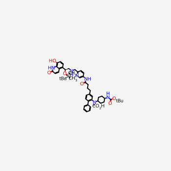 CC(C)(C)OC(=O)NC1CCC(N(C(=O)O)c2cc(CCCC(=O)Nc3ccc(CNC[C@@H](O[Si](C)(C)C(C)(C)C)c4ccc(O)c5[nH]c(=O)ccc45)nc3)ccc2-c2ccccc2)CC1